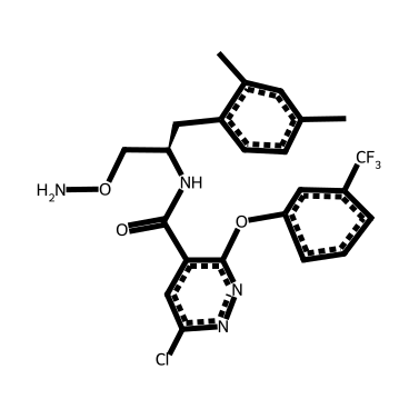 Cc1ccc(C[C@H](CON)NC(=O)c2cc(Cl)nnc2Oc2cccc(C(F)(F)F)c2)c(C)c1